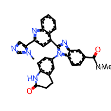 CNC(=O)c1ccc2c(c1)nc(-c1cc(-c3cncn3C)nc3ccccc13)n2-c1ccc2c(c1)CCC(=O)N2